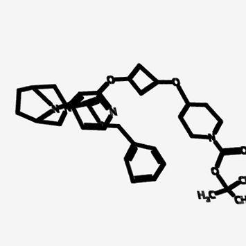 CC(C)(C)OC(=O)N1CCC(OC2CC(Oc3cc(N4C5CCC4CN(C(=O)OCc4ccccc4)C5)ccn3)C2)CC1